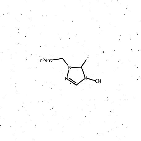 CCCCCCN1N=CN(C#N)C1F